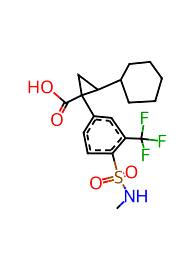 CNS(=O)(=O)c1ccc(C2(C(=O)O)CC2C2CCCCC2)cc1C(F)(F)F